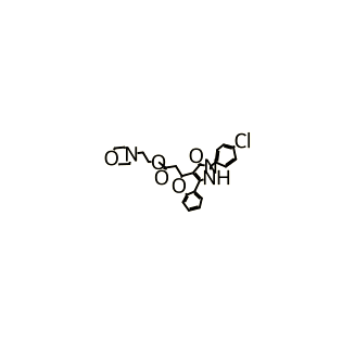 O=C(CC1Oc2ccccc2-c2[nH]n(-c3ccc(Cl)cc3)c(=O)c21)OCCN1CCOCC1